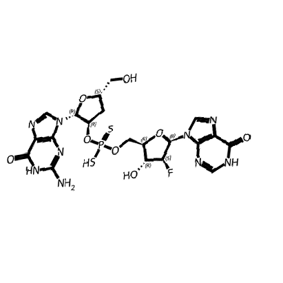 Nc1nc2c(ncn2[C@@H]2O[C@H](CO)C[C@H]2OP(=S)(S)OC[C@H]2O[C@@H](n3cnc4c(=O)[nH]cnc43)[C@@H](F)[C@@H]2O)c(=O)[nH]1